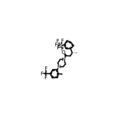 Cc1ccc(C(F)(F)F)cc1N1CCN(C(=O)C[C@@H](C)c2cccc(S(F)(F)(F)(F)F)c2)CC1